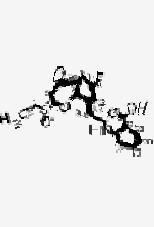 CC[S@+]([O-])c1cc(=O)c2cc(F)cc(CCNc3ccccc3C(=O)O)c2o1